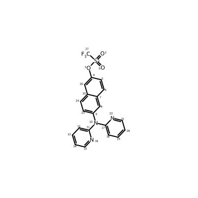 O=S(=O)(Oc1ccc2cc(N(c3ccccn3)c3ccccn3)ccc2c1)C(F)(F)F